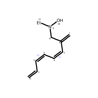 C=C/C=C\C=C/C(=C)CN(O)CC